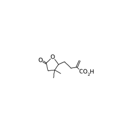 C=C(CCC1OC(=O)CC1(C)C)C(=O)O